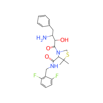 CC1(C)SCN(C(=O)C(O)C(N)Cc2ccccc2)C1C(=O)NCc1c(F)cccc1F